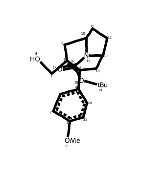 COc1ccc(C2=C(CO)CC3CCC(C2)N3C(=O)OC(C)(C)C)cc1